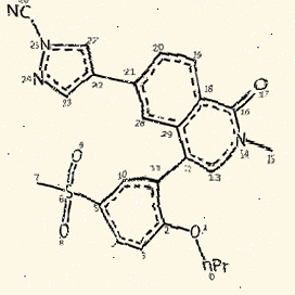 CCCOc1ccc(S(C)(=O)=O)cc1-c1cn(C)c(=O)c2ccc(-c3cnn(C#N)c3)cc12